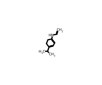 C=CNC1=CC=C(C(C)C)CC1